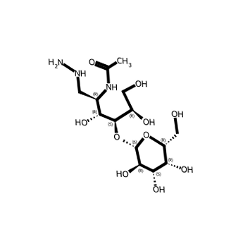 CC(=O)N[C@H](CNN)[C@@H](O)[C@H](O[C@@H]1O[C@H](CO)[C@H](O)[C@H](O)[C@H]1O)[C@H](O)CO